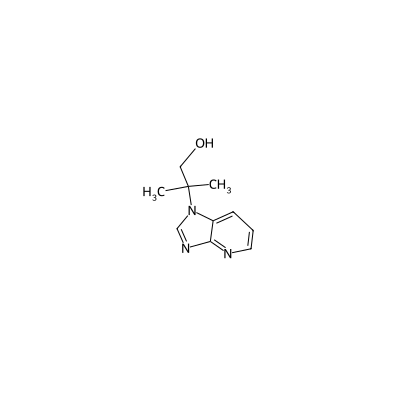 CC(C)(CO)n1cnc2ncccc21